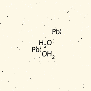 O.O.[Pb].[Pb]